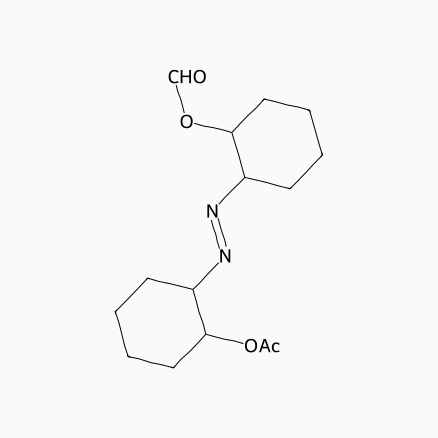 CC(=O)OC1CCCCC1N=NC1CCCCC1OC=O